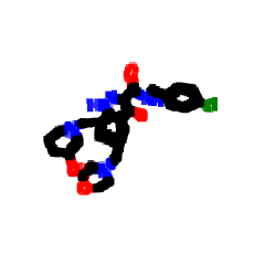 O=C(NCc1ccc(Cl)cc1)c1n[nH]c2c(CN3CCCC(O)C3)cc(CN3CCOCC3)cc2c1=O